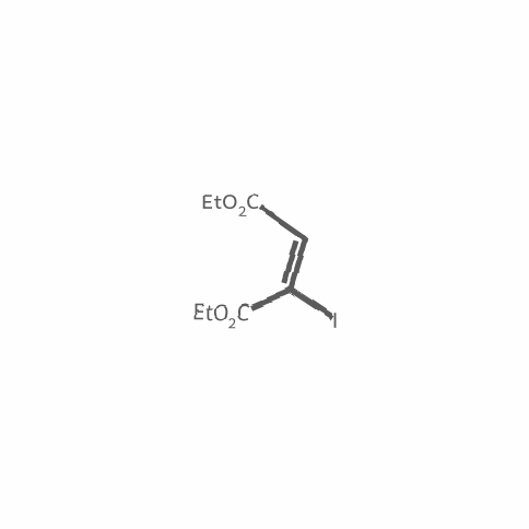 CCOC(=O)/C=C(/I)C(=O)OCC